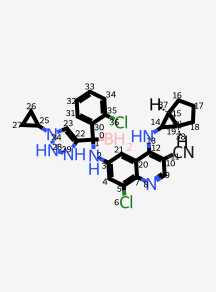 BC(Nc1cc(Cl)c2ncc(C#N)c(NC3[C@H]4CCC[C@@H]34)c2c1)(C1=CN(C2CC2)NN1)c1ccccc1Cl